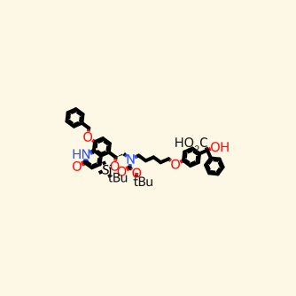 CC(C)(C)OC(=O)N(CCCCCOc1ccc(C(O)(C(=O)O)c2ccccc2)cc1)C[C@H](O[Si](C)(C)C(C)(C)C)c1ccc(OCc2ccccc2)c2[nH]c(=O)ccc12